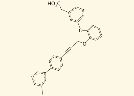 Cc1cccc(-c2ccc(C#CCOc3ccccc3Oc3cccc(CC(=O)O)c3)cc2)c1